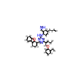 C=CCCc1ccc(Nc2nc(C3=CCCc4c3oc3ccccc43)nc(/C(=C/CC)COc3ccccc3CC)n2)c(C=N)c1